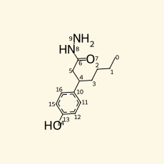 CCCCC(CC(=O)NN)c1ccc(O)cc1